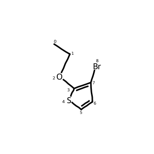 CCOc1sccc1Br